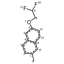 Cc1ccc2cc(OCC(F)F)ccc2c1